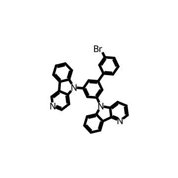 Brc1cccc(-c2cc(-n3c4ccccc4c4cnccc43)cc(-n3c4ccccc4c4ncccc43)c2)c1